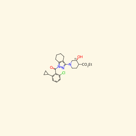 CCOC(=O)C1CCN(c2nn(C(=O)c3c(Cl)cccc3C3CC3)c3c2CCCC3)C[C@H]1O